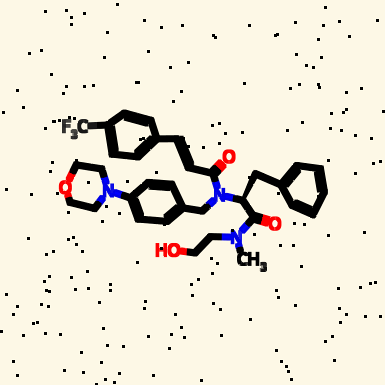 CN(CCO)C(=O)[C@H](Cc1ccccc1)N(Cc1ccc(N2CCOCC2)cc1)C(=O)/C=C/c1ccc(C(F)(F)F)cc1